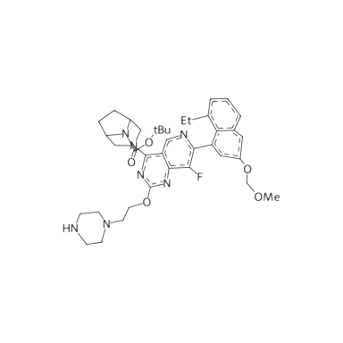 CCc1cccc2cc(OCOC)cc(-c3ncc4c(N5CC6CCC(C5)N6C(=O)OC(C)(C)C)nc(OCCN5CCNCC5)nc4c3F)c12